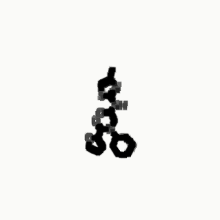 Cc1csc(NC(=O)CN(C(=O)c2ccco2)C2CCCCC2)n1